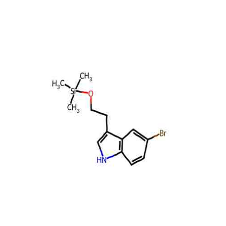 C[Si](C)(C)OCCc1c[nH]c2ccc(Br)cc12